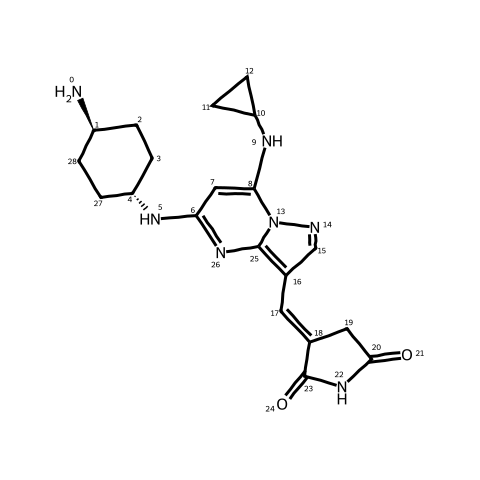 N[C@H]1CC[C@H](Nc2cc(NC3CC3)n3ncc(/C=C4\CC(=O)NC4=O)c3n2)CC1